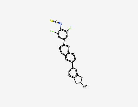 CCCC1Cc2ccc(-c3ccc4cc(-c5cc(F)c(N=C=S)c(F)c5)ccc4c3)cc2C1